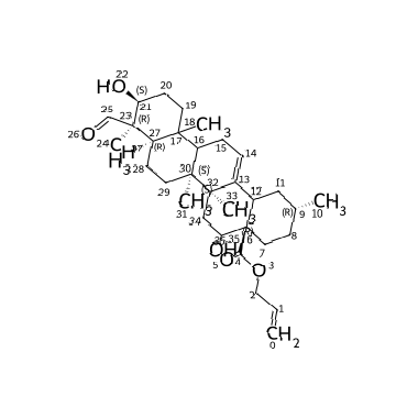 C=CCOC(=O)[C@]12CC[C@@H](C)CC1C1=CCC3C4(C)CC[C@H](O)[C@](C)(C=O)[C@@H]4CC[C@]3(C)[C@]1(C)CC2O